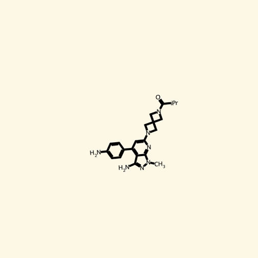 CC(C)C(=O)N1CC2(C1)CN(c1cc(-c3ccc(N)cc3)c3c(N)nn(C)c3n1)C2